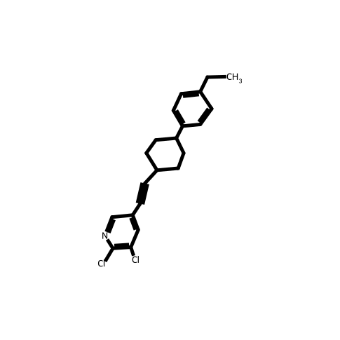 CCc1ccc(C2CCC(C#Cc3cnc(Cl)c(Cl)c3)CC2)cc1